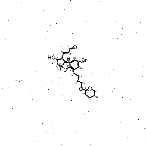 O=CC=CC1C(O)C[C@H]2Oc3c(CCCCOC4CCCCO4)cc(Br)cc3[C@@H]12